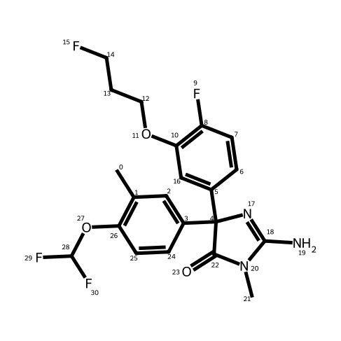 Cc1cc(C2(c3ccc(F)c(OCCCF)c3)N=C(N)N(C)C2=O)ccc1OC(F)F